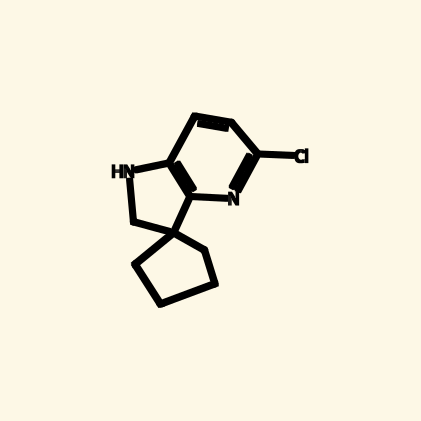 Clc1ccc2c(n1)C1(CCCC1)CN2